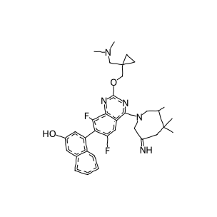 CC1CN(c2nc(OCC3(CN(C)C)CC3)nc3c(F)c(-c4cc(O)cc5ccccc45)c(F)cc23)CC(=N)CC1(C)C